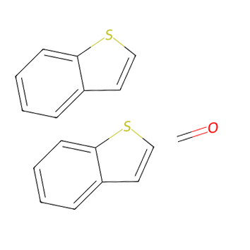 C=O.c1ccc2sccc2c1.c1ccc2sccc2c1